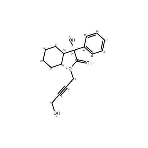 O=C(OCC#CCO)[C@](O)(c1ccccc1)C1CCCCC1